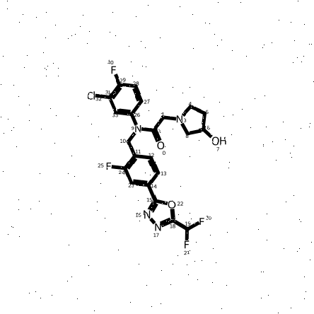 O=C(CN1CCC(O)C1)N(Cc1ccc(-c2nnc(C(F)F)o2)cc1F)c1ccc(F)c(Cl)c1